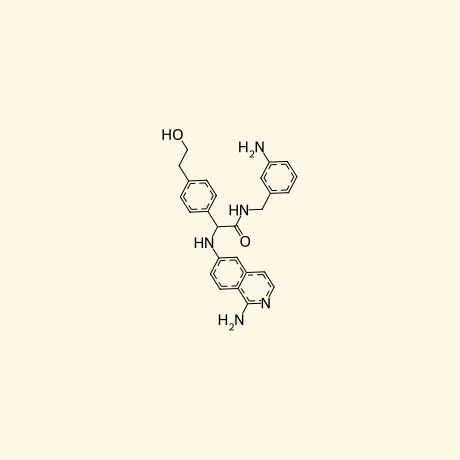 Nc1cccc(CNC(=O)C(Nc2ccc3c(N)nccc3c2)c2ccc(CCO)cc2)c1